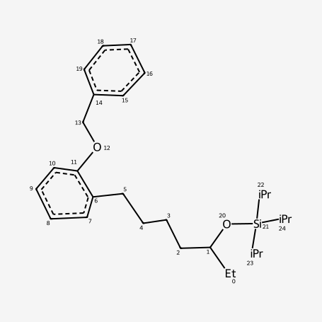 CCC(CCCCc1ccccc1OCc1ccccc1)O[Si](C(C)C)(C(C)C)C(C)C